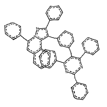 c1ccc(-c2nc(-c3ccccc3)c(-c3cccc(-c4c(-c5ccccc5)nn5c(-c6ccccc6)cc6ccccc6c45)c3)c(-c3ccccc3)n2)cc1